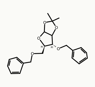 CC1(C)OC2O[C@H](COCc3ccccc3)[C@@H](OCc3ccccc3)C2O1